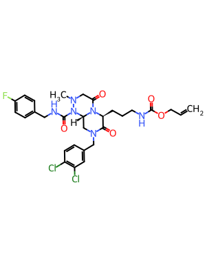 C=CCOC(=O)NCCC[C@H]1C(=O)N(Cc2ccc(Cl)c(Cl)c2)C[C@H]2N1C(=O)CN(C)N2C(=O)NCc1ccc(F)cc1